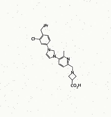 Cc1nc(CN2CC(C(=O)O)C2)ccc1N1C=CN(c2ccc(CC(C)C)c(Cl)c2)C1